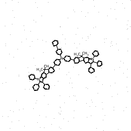 CC1(C)c2cc(-c3ccc(N(c4ccc(-c5ccccc5)cc4)c4ccc(-c5ccc6c(c5)C(C)(C)c5cc7c(cc5-6)c(-c5ccccc5)c(-c5ccccc5)n7-c5ccccc5)cc4)cc3)ccc2-c2cc3c(-c4ccccc4)c(-c4ccccc4)n(-c4ccccc4)c3cc21